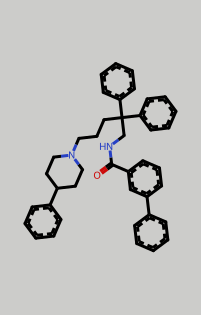 O=C(NCC(CCCN1CCC(c2ccccc2)CC1)(c1ccccc1)c1ccccc1)c1cccc(-c2ccccc2)c1